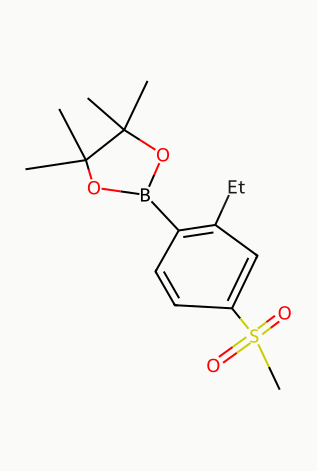 CCc1cc(S(C)(=O)=O)ccc1B1OC(C)(C)C(C)(C)O1